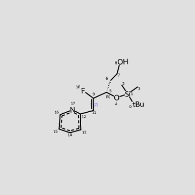 CC(C)(C)[Si](C)(C)O[C@@H](CCO)/C(F)=C/c1ccccn1